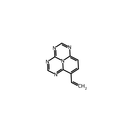 C=CC1=CC=C2N=CN=C3N=CN=C1N23